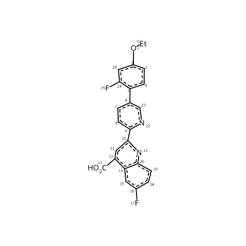 CCOc1ccc(-c2ccc(-c3cc(C(=O)O)c4cc(F)ccc4n3)nc2)c(F)c1